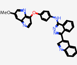 COc1cnc2c(Oc3ccc(Nc4nnc(-c5cnc6ccccc6c5)c5ccccc45)cc3)ccnc2c1